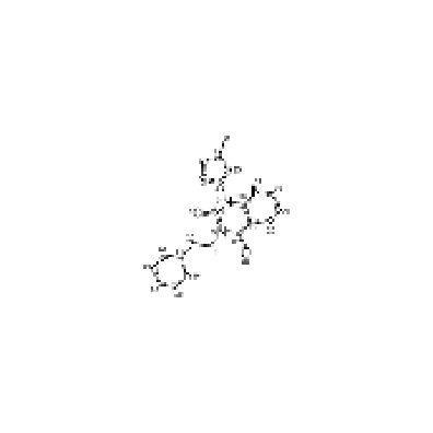 Cc1csc(-n2c(=O)n(CCc3ccccn3)c(=O)c3cccnc32)c1